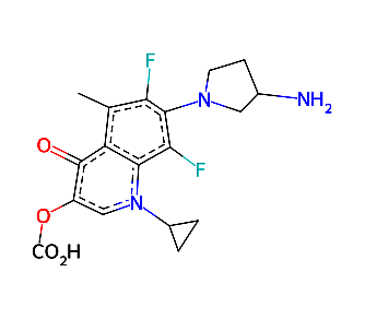 Cc1c(F)c(N2CCC(N)C2)c(F)c2c1c(=O)c(OC(=O)O)cn2C1CC1